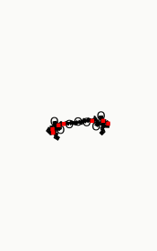 C=CCC12C=CC(C1)C1C(=O)N(CCCOCCOCCOCCCN3C(=O)C4C5C=CC(CC=C)(C5)C4C3=O)C(=O)C12